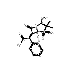 CC1(C)[C@H](C(=O)O)N2C(=O)/C(=C(\C(N)=O)c3ccccn3)[C@H]2S1(=O)=O